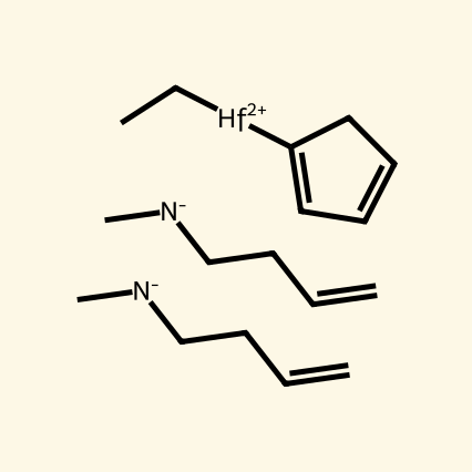 C=CCC[N-]C.C=CCC[N-]C.C[CH2][Hf+2][C]1=CC=CC1